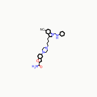 N#Cc1ccc2c(c1)c(CCCCN1CCN(c3ccc4oc(C(N)=O)cc4c3)CC1)cn2CNc1ccccc1